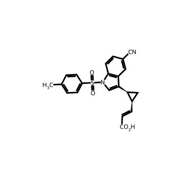 Cc1ccc(S(=O)(=O)n2cc([C@H]3C[C@H]3C=CC(=O)O)c3cc(C#N)ccc32)cc1